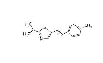 Cc1ccc(/C=C/c2cnc(C(C)C)s2)cc1